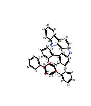 c1ccc(-c2ccccc2-c2ccccc2-c2c(-c3ccccc3-c3ccccc3)ccc3c2-c2c4c(ccc2=N3)=c2ccccc2=N4)cc1